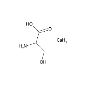 NC(CO)C(=O)O.[CaH2]